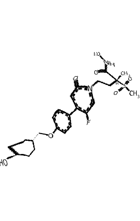 C[C@@](CCn1cc(F)c(-c2ccc(OC[C@H]3CC[C@H](O)CC3)cc2)cc1=O)(C(=O)NO)S(C)(=O)=O